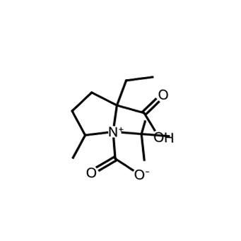 CCC1(C(=O)O)CCC(C)[N+]1(C(=O)[O-])C(C)(C)C